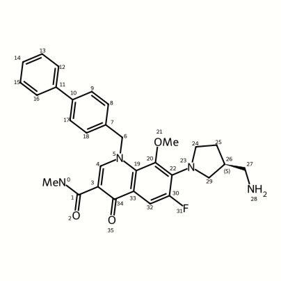 CNC(=O)c1cn(Cc2ccc(-c3ccccc3)cc2)c2c(OC)c(N3CC[C@@H](CN)C3)c(F)cc2c1=O